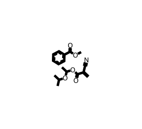 C=C(C#N)C(=O)OC(C)OC(C)C.COC(=O)c1ccccc1